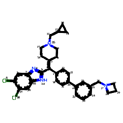 Clc1cc2nc(C(=C3CCN(CC4CC4)CC3)c3ccc(-c4cccc(CN5CCC5)c4)cc3)[nH]c2cc1Cl